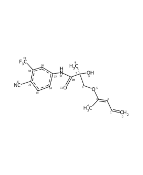 C=C/C=C(\C)OC[C@](C)(O)C(=O)Nc1ccc(C#N)c(C(F)(F)F)c1